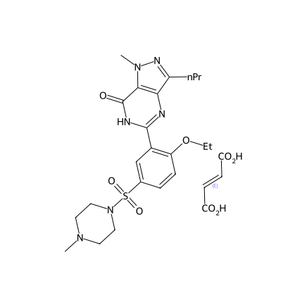 CCCc1nn(C)c2c(=O)[nH]c(-c3cc(S(=O)(=O)N4CCN(C)CC4)ccc3OCC)nc12.O=C(O)/C=C/C(=O)O